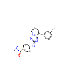 Cc1cccc(-c2cccn3nc(Nc4ccc(C(=O)N(C)C)cc4)nc23)c1